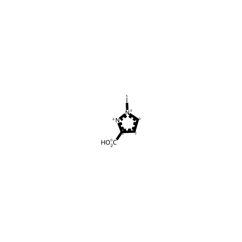 O=C(O)c1ccn(I)n1